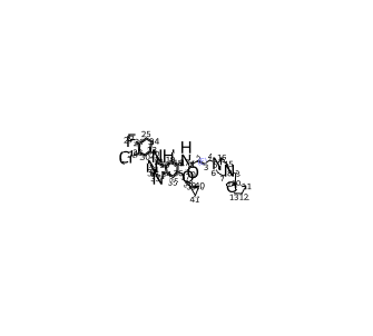 O=C(/C=C/CN1CCN(CC2CCCO2)CC1)Nc1cc2c(Nc3ccc(F)c(Cl)c3)ncnc2cc1OCC1CC1